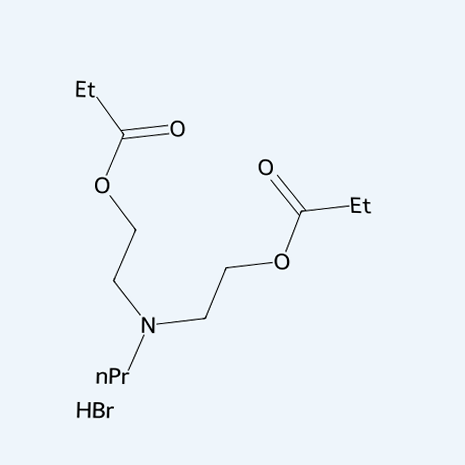 Br.CCCN(CCOC(=O)CC)CCOC(=O)CC